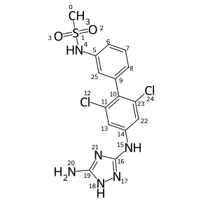 CS(=O)(=O)Nc1cccc(-c2c(Cl)cc(Nc3n[nH]c(N)n3)cc2Cl)c1